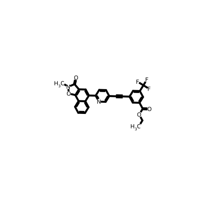 CCOC(=O)c1cc(C#Cc2ccc(-c3cc4c(=O)n(C)oc4c4ccccc34)nc2)cc(C(F)(F)F)c1